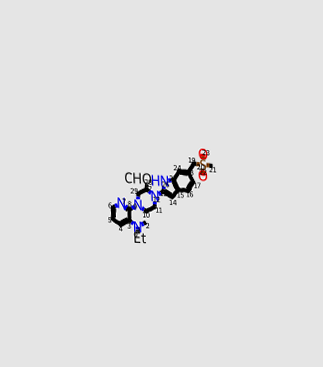 CCN(C)c1cccnc1N1CCN(c2cc3ccc(CS(C)(=O)=O)cc3[nH]2)C(C=O)C1